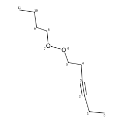 CCC#CCCOOCCCC